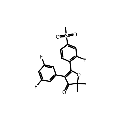 CC1(C)OC(c2ccc(S(C)(=O)=O)cc2F)=C(c2cc(F)cc(F)c2)C1=O